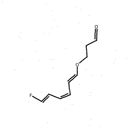 O=CCCO/C=C/C=C\C=C\F